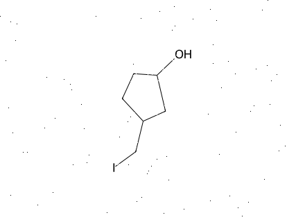 OC1CCC(CI)C1